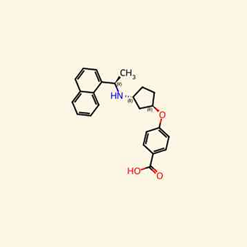 C[C@@H](N[C@@H]1CC[C@@H](Oc2ccc(C(=O)O)cc2)C1)c1cccc2ccccc12